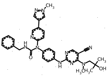 CN(CC(C)(C)O)c1nc(Nc2ccc(N(C(=O)NCc3ccccc3)c3ccc(-c4cnn(C)c4)cn3)cc2)ncc1C#N